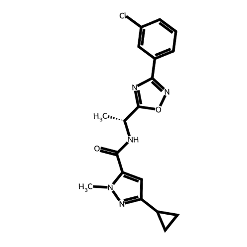 C[C@@H](NC(=O)c1cc(C2CC2)nn1C)c1nc(-c2cccc(Cl)c2)no1